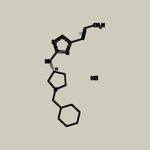 Cl.O=C(O)/C=C/c1csc(N[C@@H]2CCN(CC3CCCCC3)C2)n1